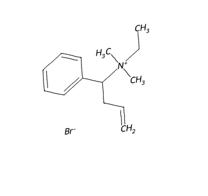 C=CCC(c1ccccc1)[N+](C)(C)CC.[Br-]